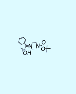 CC(C)(C)OC(=O)N1CCN([C@@H]2c3ccccc3C[C@H]2O)CC1